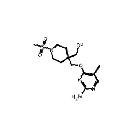 Cc1cnc(N)nc1OCC1(CO)CCN(S(C)(=O)=O)CC1